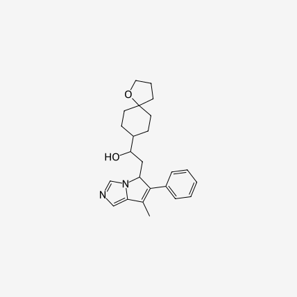 CC1=C(c2ccccc2)C(CC(O)C2CCC3(CCCO3)CC2)n2cncc21